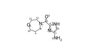 Nc1c[nH]c(C(=O)N2CCCOCC2)n1